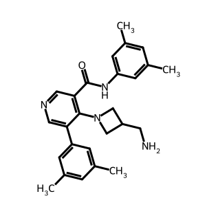 Cc1cc(C)cc(NC(=O)c2cncc(-c3cc(C)cc(C)c3)c2N2CC(CN)C2)c1